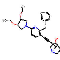 CCO[C@@H]1CN(c2ccc(C#C[C@@]3(O)CN4CCC3CC4)c(Cc3ccccc3)n2)C[C@H]1OCC